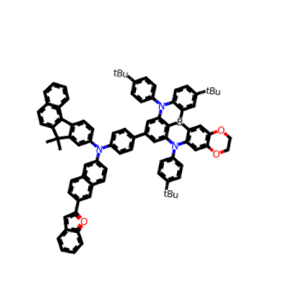 CC(C)(C)c1ccc(N2c3ccc(C(C)(C)C)cc3B3c4cc5c(cc4N(c4ccc(C(C)(C)C)cc4)c4cc(-c6ccc(N(c7ccc8c(c7)C(C)(C)c7ccc9ccccc9c7-8)c7ccc8cc(-c9cc%10ccccc%10o9)ccc8c7)cc6)cc2c43)OCCO5)cc1